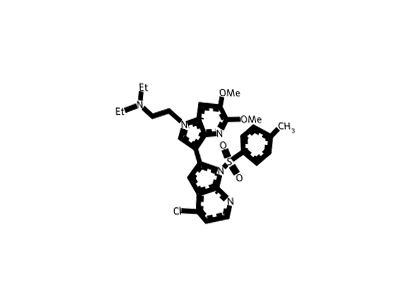 CCN(CC)CCn1cc(-c2cc3c(Cl)ccnc3n2S(=O)(=O)c2ccc(C)cc2)c2nc(OC)c(OC)cc21